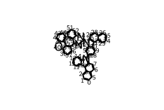 c1ccc2c(c1)ccc1c2c2ccccc2n1-c1ccc2c3c4ccccc4ccc3n(-c3nc(-c4cccc5oc6ccccc6c45)c4ccccc4n3)c2c1